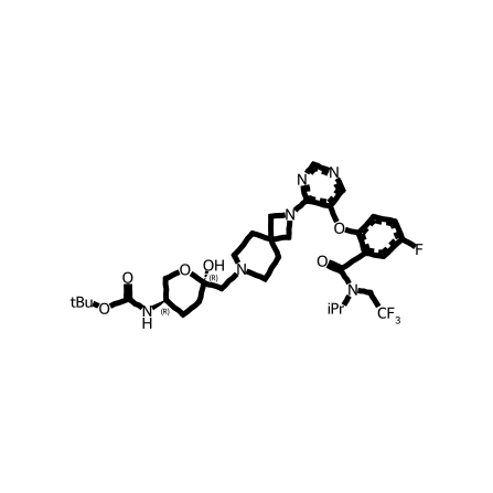 CC(C)N(CC(F)(F)F)C(=O)c1cc(F)ccc1Oc1cncnc1N1CC2(CCN(C[C@@]3(O)CC[C@@H](NC(=O)OC(C)(C)C)CO3)CC2)C1